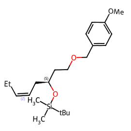 CC/C=C\C[C@@H](CCOCc1ccc(OC)cc1)O[Si](C)(C)C(C)(C)C